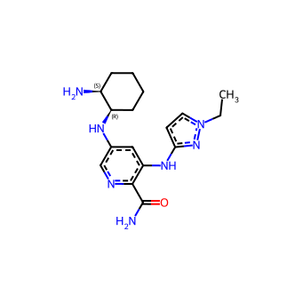 CCn1ccc(Nc2cc(N[C@@H]3CCCC[C@@H]3N)cnc2C(N)=O)n1